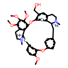 COc1ccc2cc1Oc1ccc(cc1)C[C@H]1c3cc(c(CO)cc3CCN1C)Oc1c(OC)c(OC)c(OC)c3c1[C@@H](C2)N(C)CC3